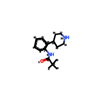 CC(C)(C)C(=O)Nc1ccccc1C1CCNCC1